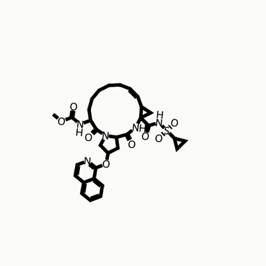 COC(=O)NC1CCCCC/C=C\C2CC2(C(=O)NS(=O)(=O)C2CC2)NC(=O)C2CC(Oc3nccc4ccccc34)CN2C1=O